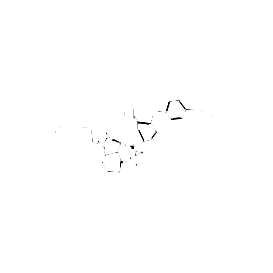 CCOC(=O)CN1N=CC2C1CCC[C@H]2N(C)S(=O)(=O)c1ccc(Oc2ccc(OC(F)(F)F)cc2)c(Cl)c1